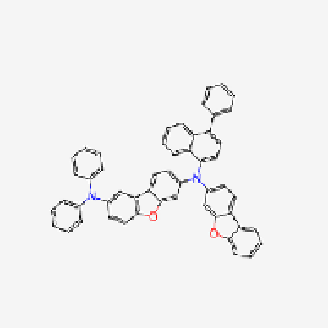 c1ccc(-c2ccc(N(c3ccc4c(c3)oc3ccccc34)c3ccc4c(c3)oc3ccc(N(c5ccccc5)c5ccccc5)cc34)c3ccccc23)cc1